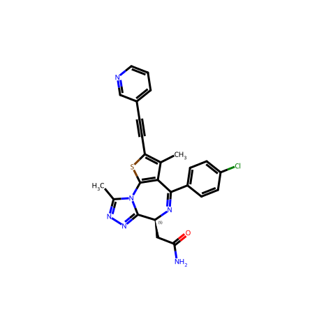 Cc1c(C#Cc2cccnc2)sc2c1C(c1ccc(Cl)cc1)=N[C@@H](CC(N)=O)c1nnc(C)n1-2